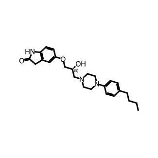 CCCCc1ccc(N2CCN(C[C@H](O)COc3ccc4c(c3)CC(=O)N4)CC2)cc1